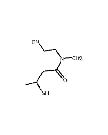 CC(S)CC(=O)N(C=O)CCN=O